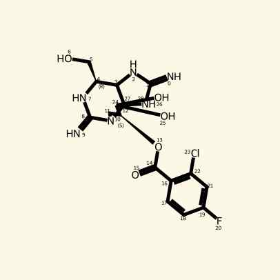 N=C1NC2[C@H](CO)NC(=N)N3C[C@H](OC(=O)c4ccc(F)cc4Cl)C(O)(O)C23N1